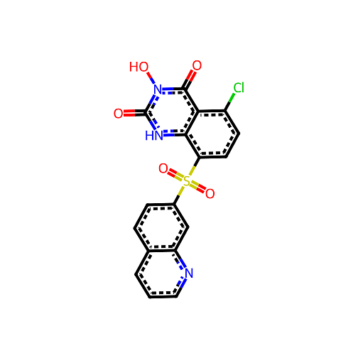 O=c1[nH]c2c(S(=O)(=O)c3ccc4cccnc4c3)ccc(Cl)c2c(=O)n1O